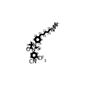 CC1(C)C(=O)N(c2ccc(C#N)c(C(F)(F)F)c2)C(=S)N1c1ccc(CCCCCN=[N+]=[N-])cc1